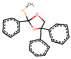 CPC1(c2ccccc2)OCC(c2ccccc2)(c2ccccc2)O1